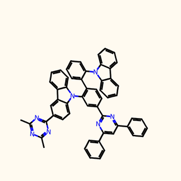 Cc1nc(C)nc(-c2ccc3c(c2)c2ccccc2n3-c2cc(-c3nc(-c4ccccc4)cc(-c4ccccc4)n3)ccc2-c2ccccc2-n2c3ccccc3c3ccccc32)n1